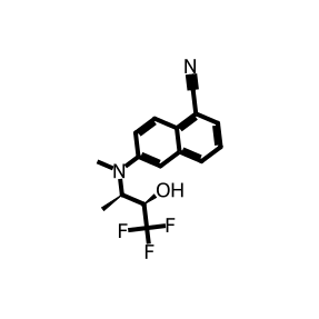 C[C@H]([C@@H](O)C(F)(F)F)N(C)c1ccc2c(C#N)cccc2c1